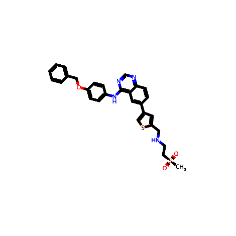 CS(=O)(=O)CCNCc1cc(-c2ccc3ncnc(Nc4ccc(OCc5ccccc5)cc4)c3c2)cs1